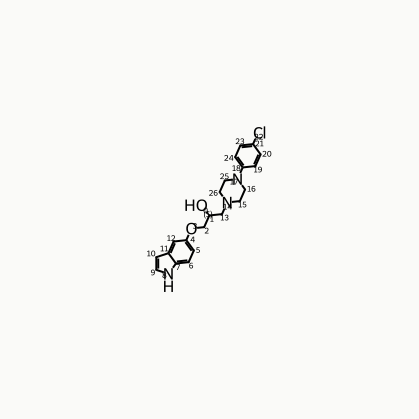 O[C@H](COc1ccc2[nH]ccc2c1)CN1CCN(c2ccc(Cl)cc2)CC1